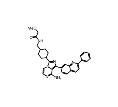 COCC(=O)NCC1CCC(c2nc(-c3ccc4ccc(-c5ccccc5)nc4c3)c3c(N)nccn23)CC1